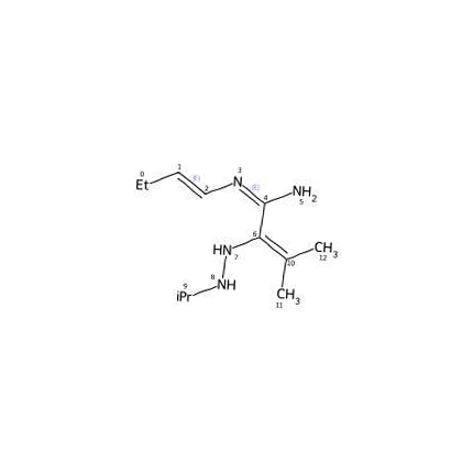 CC/C=C/N=C(/N)C(NNC(C)C)=C(C)C